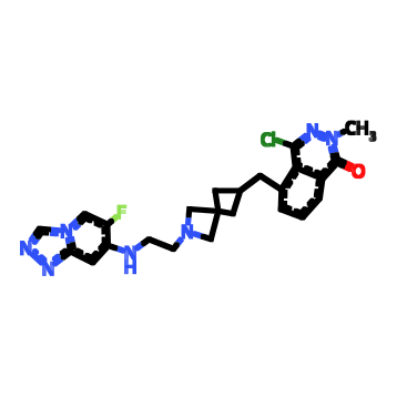 Cn1nc(Cl)c2c(CC3CC4(C3)CN(CCNc3cc5nncn5cc3F)C4)cccc2c1=O